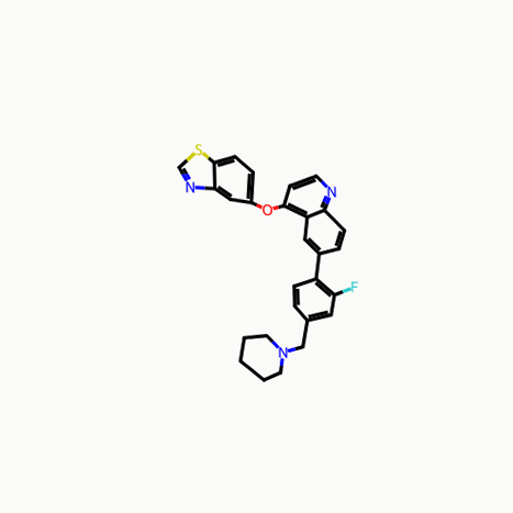 Fc1cc(CN2CCCCC2)ccc1-c1ccc2nccc(Oc3ccc4scnc4c3)c2c1